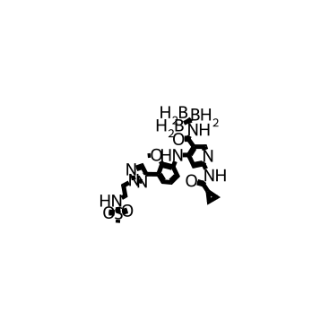 BC(B)(B)NC(=O)c1cnc(NC(=O)C2CC2)cc1Nc1cccc(-c2cnn(CCNS(C)(=O)=O)n2)c1OC